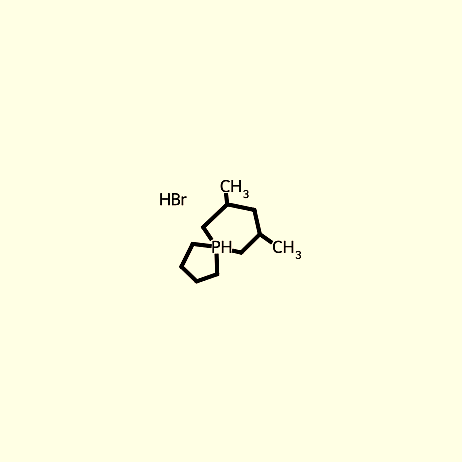 Br.CC1CC(C)C[PH]2(CCCC2)C1